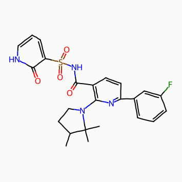 CC1CCN(c2nc(-c3cccc(F)c3)ccc2C(=O)NS(=O)(=O)c2ccc[nH]c2=O)C1(C)C